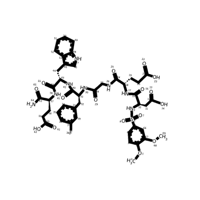 COc1ccc(S(=O)(=O)N[C@H](CC(=O)O)C(=O)N[C@@H](CCC(=O)O)C(=O)NCC(=O)N[C@@H](Cc2cccc(F)c2)C(=O)N[C@@H](Cc2c[nH]c3ccccc23)C(=O)N[C@@H](CCC(=O)O)C(N)=O)cc1OC